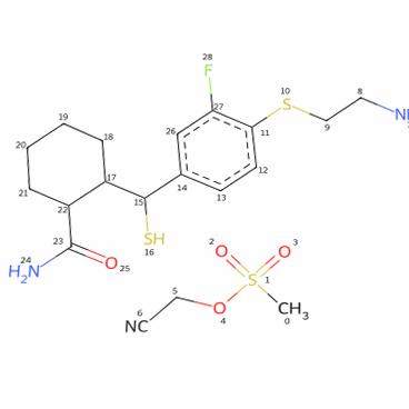 CS(=O)(=O)OCC#N.NCCSc1ccc(C(S)C2CCCCC2C(N)=O)cc1F